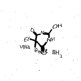 B.CCCC(C)C1(CC)C(=O)N=C(O)NC1=O.[NaH]